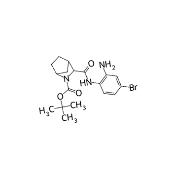 CC(C)(C)OC(=O)N1C2CCC(C2)C1C(=O)Nc1ccc(Br)cc1N